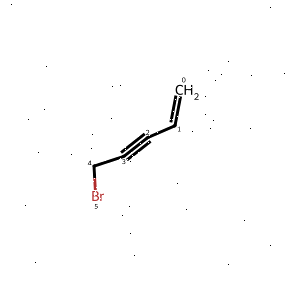 C=CC#CCBr